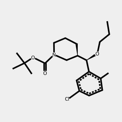 CCCO[C@@H](c1cc(Cl)ccc1C)[C@@H]1CCCN(C(=O)OC(C)(C)C)C1